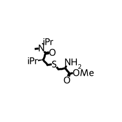 COC(=O)C(N)CSC[C@H](C(=O)N(C)C(C)C)C(C)C